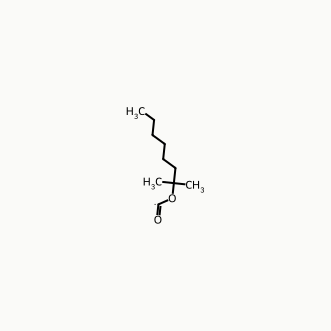 CCCCCCC(C)(C)O[C]=O